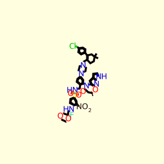 C[C@H]1CCN(c2cc(N3CCN(CC4=C(c5ccc(Cl)cc5)CC(C)(C)CC4)CC3)ccc2C(=O)NS(=O)(=O)c2ccc(NC[C@]3(F)COCCO3)c([N+](=O)[O-])c2)c2cc3cc[nH]c3nc2O1